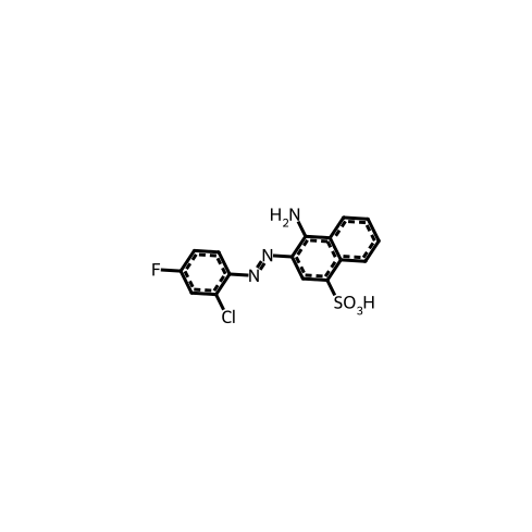 Nc1c(N=Nc2ccc(F)cc2Cl)cc(S(=O)(=O)O)c2ccccc12